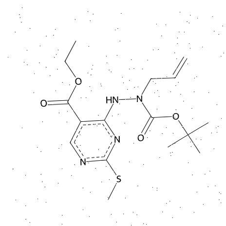 C=CCN(Nc1nc(SC)ncc1C(=O)OCC)C(=O)OC(C)(C)C